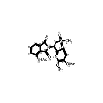 CCOc1nc([C@H](CS(C)(=O)=O)N2C(=O)c3cccc(NC(C)=O)c3C2=O)ccc1OC